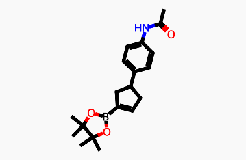 CC(=O)Nc1ccc(C2CC=C(B3OC(C)(C)C(C)(C)O3)C2)cc1